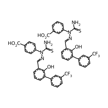 NC(=S)N(N=Cc1cccc(-c2cccc(C(F)(F)F)c2)c1O)c1ccc(C(=O)O)cc1.NC(=S)N(N=Cc1cccc(-c2cccc(C(F)(F)F)c2)c1O)c1cccc(C(=O)O)c1